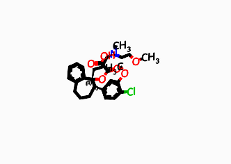 COCCN(C)CCC[C@]1(OC(=O)C(=O)O)c2ccccc2CCC[C@@H]1c1ccc(Cl)c(OC)c1